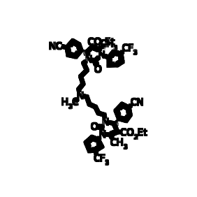 CCOC(=O)C1=C(C)N(c2cccc(C(F)(F)F)c2)C(=O)N(CCCCCN(C)CCCCCN2C(=O)N(c3cccc(C(F)(F)F)c3)C(C)=C(C(=O)OCC)[C@H]2c2ccc(C#N)cc2)[C@@H]1c1ccc(C#N)cc1